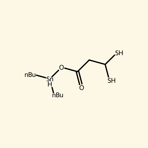 CCC[CH2][SnH]([CH2]CCC)[O]C(=O)CC(S)S